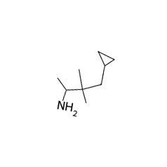 CC(N)C(C)(C)CC1CC1